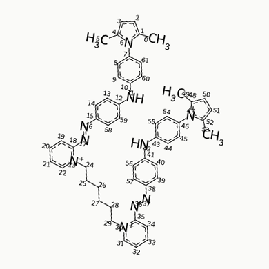 Cc1ccc(C)n1-c1ccc(Nc2ccc(/N=N/c3cccc[n+]3CCCCCC[n+]3ccccc3/N=N/c3ccc(Nc4ccc(-n5c(C)ccc5C)cc4)cc3)cc2)cc1